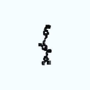 CC(C)CN1CCN(CCCCN2CCN(C(=O)C=Cc3ccc(Cl)c(Cl)c3)CCC2=O)CC1